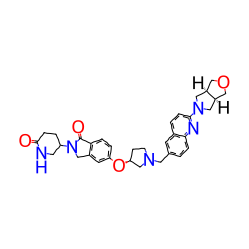 O=C1CCC(N2Cc3cc(O[C@H]4CCN(Cc5ccc6nc(N7C[C@H]8COC[C@H]8C7)ccc6c5)C4)ccc3C2=O)CN1